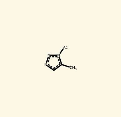 CC(=O)n1nncc1C